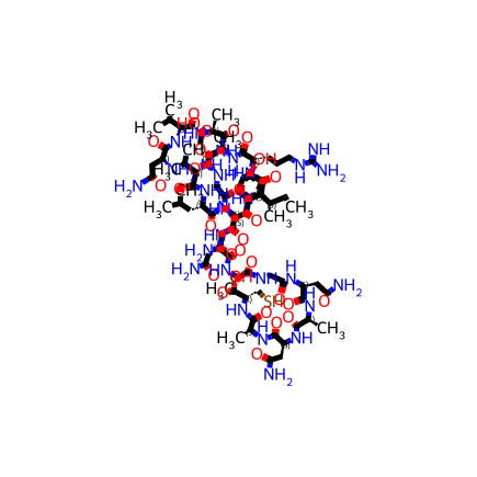 CC[C@H](C)[C@H](NC(=O)[C@H](CCC(N)=O)NC(=O)CNC(=O)[C@H](CC(=O)O)NC(=O)[C@H](C)NC(=O)[C@@H](NC(=O)[C@@H](N)CC(N)=O)C(C)C)C(=O)N[C@@H](CCCNC(=N)N)C(=O)N[C@@H](C)C(=O)N[C@H](C(=O)N[C@@H](CC(C)C)C(=O)N[C@@H](Cc1ccc(O)cc1)C(=O)N[C@@H](CC(N)=O)C(=O)N[C@@H](C)C(=O)NCC(=O)N[C@@H](CC(N)=O)C(=O)N[C@@H](C)C(=O)N[C@@H](CC(N)=O)C(=O)N[C@@H](C)C(=O)N[C@@H](CS)C(=O)O)C(C)C